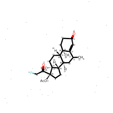 CC(=O)O[C@]1(C(=O)CF)CC[C@H]2[C@@H]3CC(C)C4=CC(=O)CC[C@]4(C)[C@H]3CC[C@@]21C